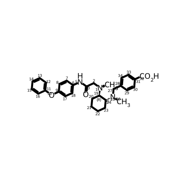 CN(CC(=O)Nc1ccc(Oc2ccccc2)cc1)[C@@H]1CCCC[C@H]1N(C)Cc1ccc(C(=O)O)cc1